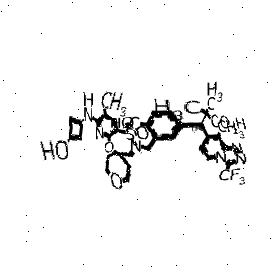 Cc1ccc([C@H](c2ccn3c(C(F)(F)F)nnc3c2C)C(C)(C)C(=O)O)cc1CN1CC2(CCOCC2)Oc2nc(N[C@H]3C[C@H](O)C3)c(C)cc2S1(=O)=O